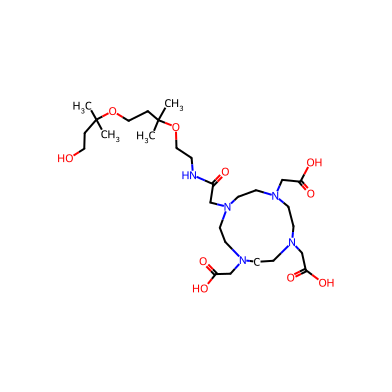 CC(C)(CCO)OCCC(C)(C)OCCNC(=O)CN1CCN(CC(=O)O)CCN(CC(=O)O)CCN(CC(=O)O)CC1